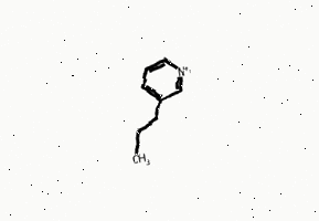 CCCC1=CC=C[N+]=C1